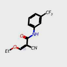 CCO/C=C(/C#N)C(=O)Nc1cccc(C(F)(F)F)c1